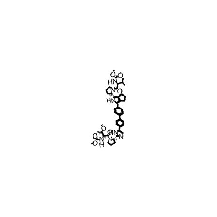 COC(=O)NC(C(=O)N1CCC[C@H]1c1[nH]c(-c2ccc(-c3ccc(-c4cnc([C@@H]5CCCN5C(=O)[C@@H](NC(=O)OC)[C@@H](C)OC)[nH]4)cc3)cc2)c2c1CCC2)C(C)C